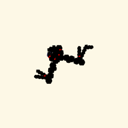 C=C1Cc2c(C)cc3c(c2/C1=C/C=C\C)-c1c(cc(C(c2ccc(-c4ccc5c(c4)C(C)(C)c4cc(-c6ccc7c(c6)C(CCCCCCCC)(CCCCCCCC)c6ccccc6-7)ccc4-5)cc2C)c2ccc(-c4ccc5c(c4)C(C)(C)c4cc(-c6ccc7c(c6)C(CCCCCCCC)(CCCCCCCCC(C)CCCC)c6ccccc6-7)ccc4-5)cc2C)c2c1oc1ccccc12)C3(c1ccccc1)c1ccccc1